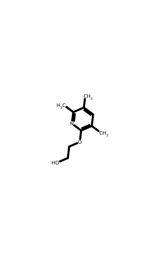 Cc1cc(C)c(OCCO)nc1C